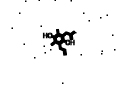 C=CCc1c(C)c(O)c(C)c(CC(=C)C)c1O